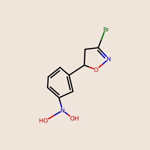 ON(O)c1cccc(C2CC(Br)=NO2)c1